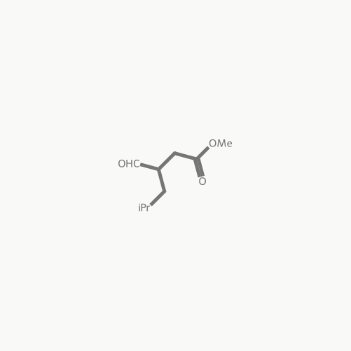 COC(=O)CC(C=O)CC(C)C